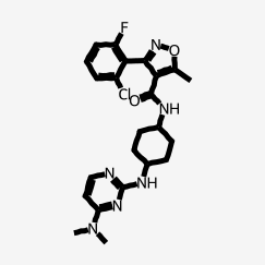 Cc1onc(-c2c(F)cccc2Cl)c1C(=O)NC1CCC(Nc2nccc(N(C)C)n2)CC1